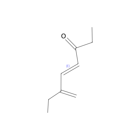 C=C(/C=C/C(=O)CC)CC